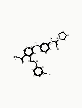 NC(=O)c1cnc(Nc2cccc(NC(=O)N3CCCC3)c2)cc1NCc1cccc(F)c1